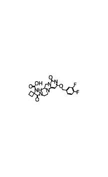 O=C(O)NC1(C(=O)N2CCN3c4cc(OCc5ccc(F)c(F)c5)nc(=O)n4CC3C2)CCC1